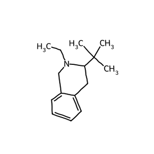 CCN1Cc2ccccc2CC1C(C)(C)C